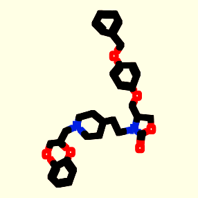 O=C1OCC(COc2ccc(OCc3ccccc3)cc2)N1CCC1CCN(CC2COc3ccccc3O2)CC1